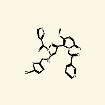 COc1ccc(=O)n(CC(=O)c2cccnc2)c1-c1cc(NCc2ccc(Cl)s2)n(C(=O)c2ccon2)n1